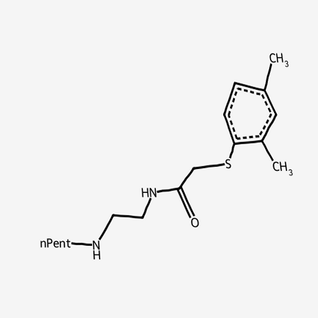 CCCCCNCCNC(=O)CSc1ccc(C)cc1C